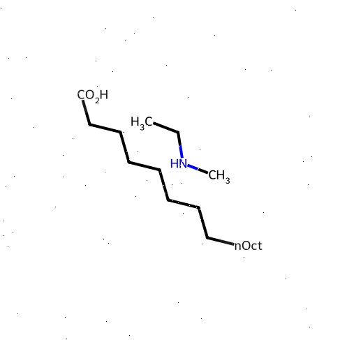 CCCCCCCCCCCCCCCC(=O)O.CCNC